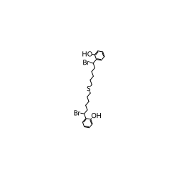 Oc1ccccc1C(Br)CCCCCSCCCCCC(Br)c1ccccc1O